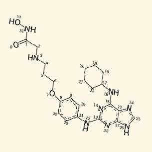 O=C(CNCCCOc1ccc(Nc2nc(NC3CCCCC3)c3nc[nH]c3n2)cc1)NO